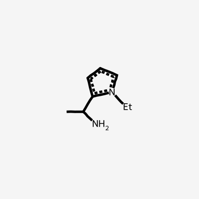 CCn1cccc1C(C)N